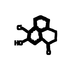 O=C1CCc2cccc3c(Cl)c(O)cc1c23